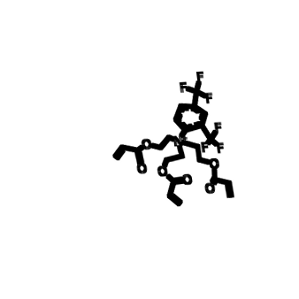 C=CC(=O)OCC[N+](CCOC(=O)C=C)(CCOC(=O)C=C)c1ccc(C(F)(F)F)cc1C(F)(F)F